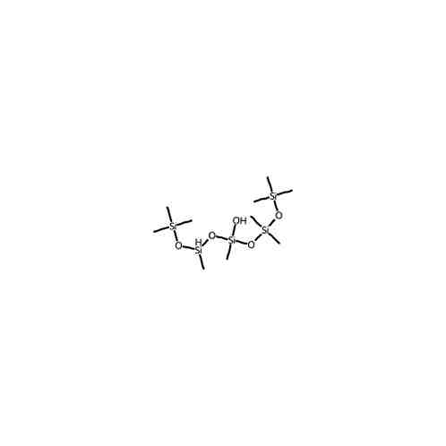 C[SiH](O[Si](C)(C)C)O[Si](C)(O)O[Si](C)(C)O[Si](C)(C)C